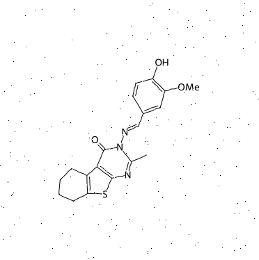 COc1cc(/C=N/n2c(C)nc3sc4c(c3c2=O)CCCC4)ccc1O